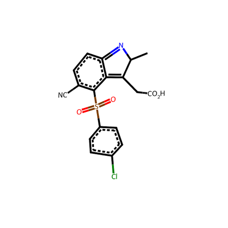 CC1N=c2ccc(C#N)c(S(=O)(=O)c3ccc(Cl)cc3)c2=C1CC(=O)O